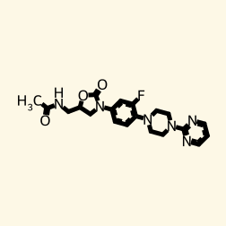 CC(=O)NCC1CN(c2ccc(N3CCN(c4ncccn4)CC3)c(F)c2)C(=O)O1